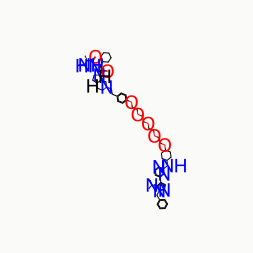 CN[C@@H](C)C(=O)N[C@H](C(=O)N1CC[C@@H]2CCN(CCc3ccc(OCCOCCOCCOCCOC4CCC(Nc5nccc(-c6cnn(Cc7ccccc7)c6N(C)C)n5)CC4)cc3)C[C@@H]21)C1CCCCC1